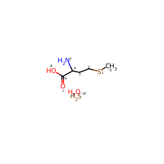 CSCCC(N)C(=O)O.O.S